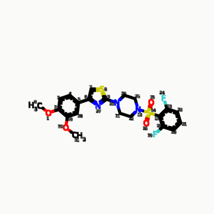 COc1ccc(-c2csc(N3CCN(S(=O)(=O)c4c(F)cccc4F)CC3)n2)cc1OC